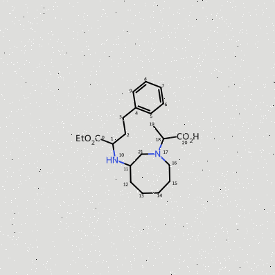 CCOC(=O)C(CCc1ccccc1)NC1CCCCCN(C(C)C(=O)O)C1